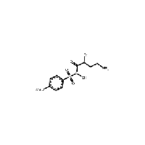 CCC(CCN)C(=O)N(O)S(=O)(=O)c1ccc(OC)cc1